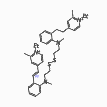 CC[n+]1ccc(/C=C/c2ccccc2N(C)CCSSCCN(C)c2ccccc2CCc2cc[n+](CC)c(C)c2)cc1C